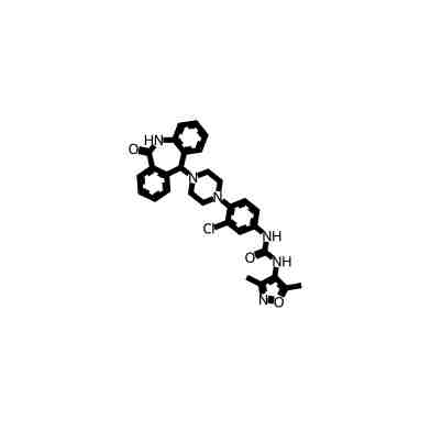 Cc1noc(C)c1NC(=O)Nc1ccc(N2CCN(C3c4ccccc4NC(=O)c4ccccc43)CC2)c(Cl)c1